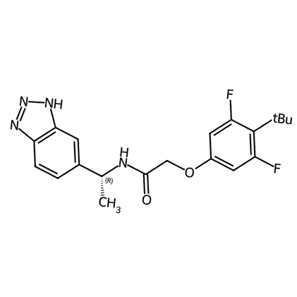 C[C@@H](NC(=O)COc1cc(F)c(C(C)(C)C)c(F)c1)c1ccc2nn[nH]c2c1